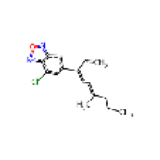 C=C/C(=C\C=C(/C)CCC)c1cc(Cl)c2nonc2c1